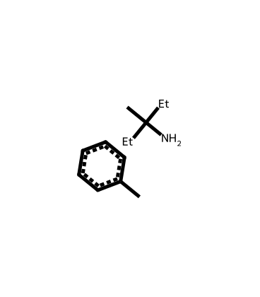 CCC(C)(N)CC.Cc1ccccc1